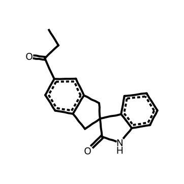 CCC(=O)c1ccc2c(c1)CC1(C2)C(=O)Nc2ccccc21